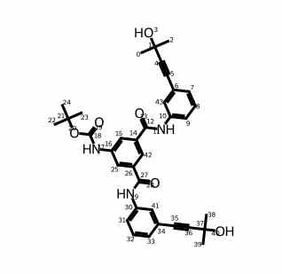 CC(C)(O)C#Cc1cccc(NC(=O)c2cc(NC(=O)OC(C)(C)C)cc(C(=O)Nc3cccc(C#CC(C)(C)O)c3)c2)c1